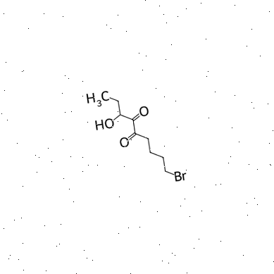 CCC(O)C(=O)C(=O)CCCCBr